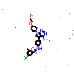 COCCOC1CCC(n2cc(-c3ccc(Nc4nc5cc(Br)cc(C)c5o4)cc3)c3c(N)ncnc32)CC1